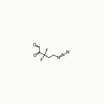 [N-]=[N+]=NCCC(F)(F)C(=O)C=O